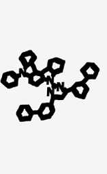 c1ccc(-c2cccc(-c3cc(-c4cccc(-c5ccccc5)c4)nc(-n4c5ccccc5c5c6c7ccccc7n(-c7ccccc7)c6ccc54)n3)c2)cc1